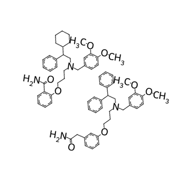 COc1ccc(CN(CCCOc2cccc(CC(N)=O)c2)CC(c2ccccc2)c2ccccc2)cc1OC.COc1ccc(CN(CCCOc2ccccc2C(N)=O)CC(c2ccccc2)C2CCCCC2)cc1OC